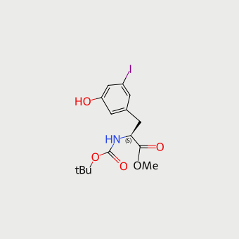 COC(=O)[C@H](Cc1cc(O)cc(I)c1)NC(=O)OC(C)(C)C